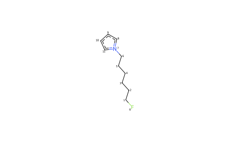 FCCCCCCn1cccc1